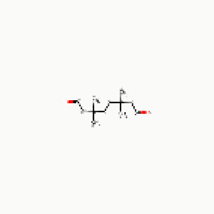 CC(C)(CC=O)CCC(C)(C)CC=O